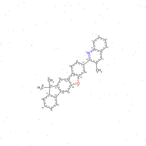 Cc1cc2ccccc2nc1-c1ccc2c(c1)oc1cc3c(cc12)C(C)(C)c1ccccc1-3